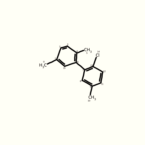 Cc1ccc(C)c(-c2cc(C)ccc2Cl)c1